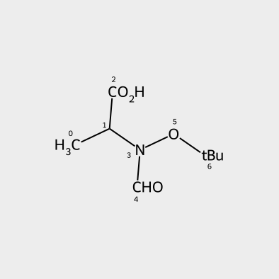 CC(C(=O)O)N(C=O)OC(C)(C)C